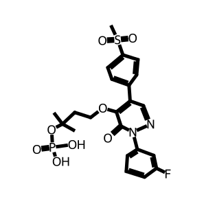 CC(C)(CCOc1c(-c2ccc(S(C)(=O)=O)cc2)cnn(-c2cccc(F)c2)c1=O)OP(=O)(O)O